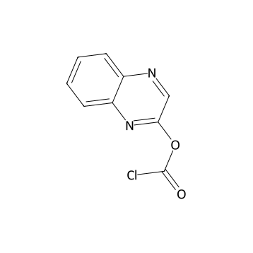 O=C(Cl)Oc1cnc2ccccc2n1